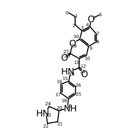 CCCc1c(OC)ccc2cc(C(=O)Nc3ccc(NC4CCNC4)cc3)c(=O)oc12